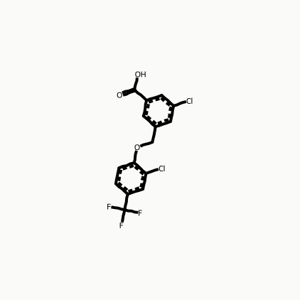 O=C(O)c1cc(Cl)cc(COc2ccc(C(F)(F)F)cc2Cl)c1